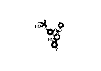 CCC(CO)(CO)COc1ccc([C@H]2c3[nH]c4ccc(Cl)cc4c3CCN2C(=O)OC2CCCC2)cc1